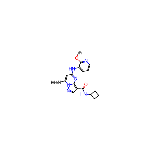 CNc1cc(Nc2cccnc2OC(C)C)nc2c(C(=O)NC3CCC3)cnn12